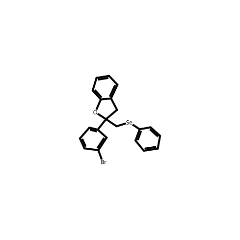 Brc1cccc(C2(C[Se]c3ccccc3)Cc3ccccc3O2)c1